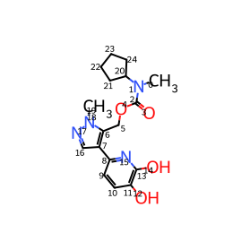 CN(C(=O)OCc1c(-c2ccc(O)c(O)n2)cnn1C)C1CCCC1